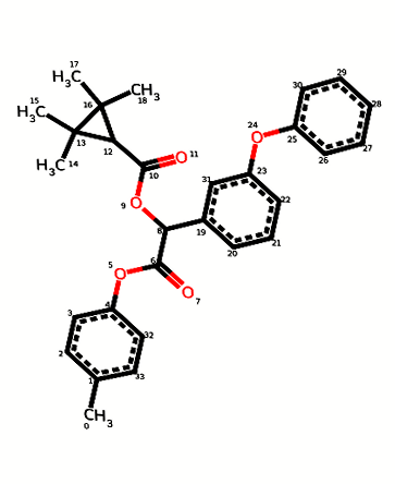 Cc1ccc(OC(=O)C(OC(=O)C2C(C)(C)C2(C)C)c2cccc(Oc3ccccc3)c2)cc1